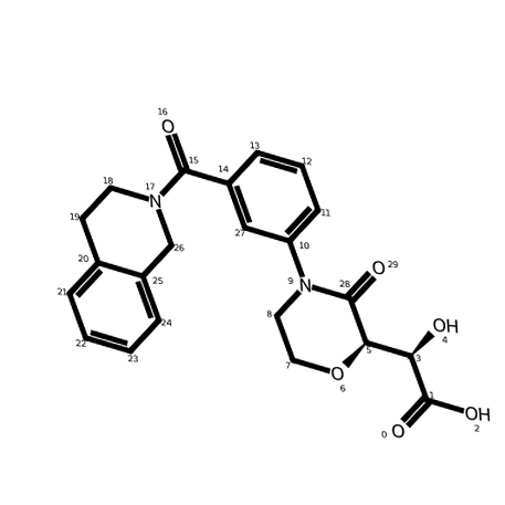 O=C(O)[C@H](O)[C@H]1OCCN(c2cccc(C(=O)N3CCc4ccccc4C3)c2)C1=O